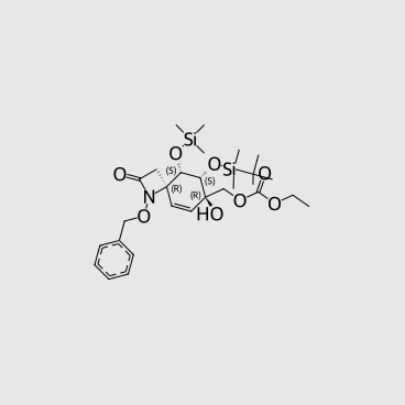 CCOC(=O)OC[C@]1(O)C=C[C@]2(CC(=O)N2OCc2ccccc2)[C@H](O[Si](C)(C)C)[C@@H]1O[Si](C)(C)C(C)(C)C